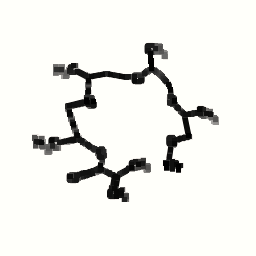 C=C(C)C(=O)OC(C)COC(C)COC(C)COC(C)COCCC